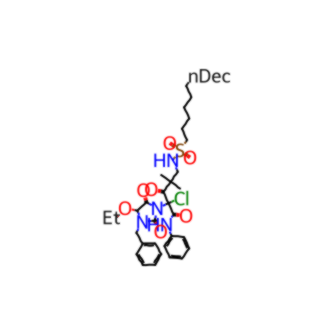 CCCCCCCCCCCCCCCCS(=O)(=O)NCC(C)(C)C(=O)C(Cl)(C(=O)Nc1ccccc1)N1C(=O)C(OCC)N(Cc2ccccc2)C1=O